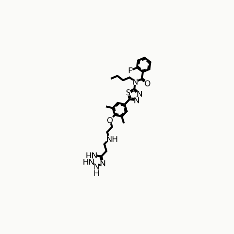 CCCCN(C(=O)c1ccccc1F)c1nnc(-c2cc(C)c(OCCNCCC3=NNNN3)c(C)c2)s1